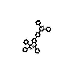 c1ccc(-c2cc(-c3ccc(-c4ccc5c(c4)cc(-c4ccccc4)n4nc(-c6ccccc6)c(-c6ccccc6)c54)cc3)cc(-c3ccccc3)n2)cc1